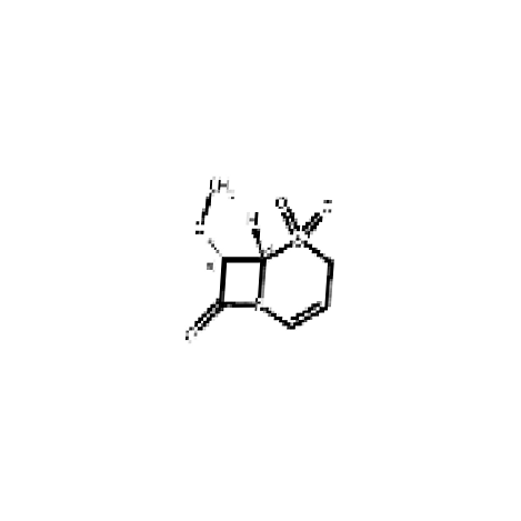 CO[C@H]1C(=O)N2C=CCS(=O)(=O)[C@@H]12